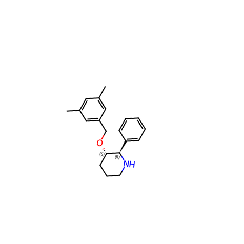 Cc1cc(C)cc(CO[C@H]2CCCN[C@@H]2c2ccccc2)c1